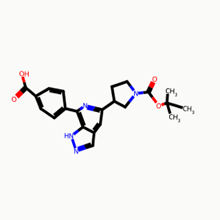 CC(C)(C)OC(=O)N1CCC(c2cc3cn[nH]c3c(-c3ccc(C(=O)O)cc3)n2)C1